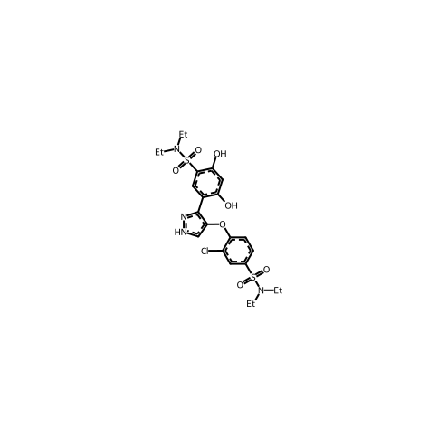 CCN(CC)S(=O)(=O)c1ccc(Oc2c[nH]nc2-c2cc(S(=O)(=O)N(CC)CC)c(O)cc2O)c(Cl)c1